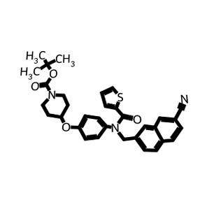 CC(C)(C)OC(=O)N1CCC(Oc2ccc(N(Cc3ccc4ccc(C#N)cc4c3)C(=O)c3cccs3)cc2)CC1